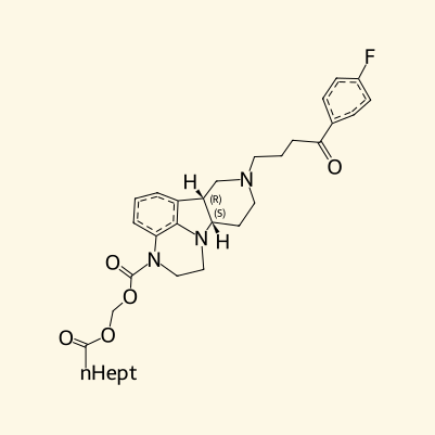 CCCCCCCC(=O)OCOC(=O)N1CCN2c3c(cccc31)[C@@H]1CN(CCCC(=O)c3ccc(F)cc3)CC[C@@H]12